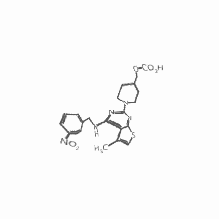 Cc1csc2nc(N3CCC(OC(=O)O)CC3)nc(NCc3cccc([N+](=O)[O-])c3)c12